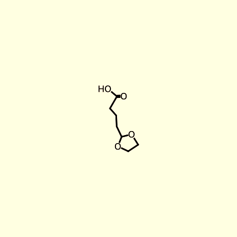 O=C(O)CCCC1OCCO1